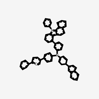 C1=CC(c2ccc3ccccc3c2)CC=C1N(c1ccc(-c2ccc(-c3ccccc3)cc2)cc1)c1cccc(-c2cccc3c2c2ccc4ccccc4c2n3-c2ccccc2)c1